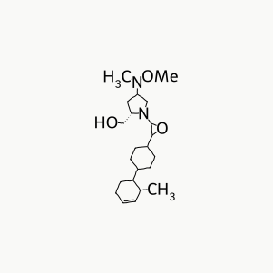 CON(C)C1C[C@@H](CO)N(C2OC2C2CCC(C3CCC=CC3C)CC2)C1